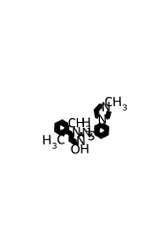 Cc1cccc(C)c1-c1cc(O)nc(NSc2cccc(N3CCCN(C)CC3)c2)n1